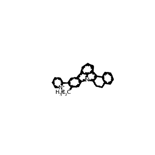 Cc1cc2c(cc1-c1cccc[n+]1C)c1cccc3c4c(n2c31)CCc1ccccc1-4